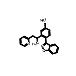 Cc1ccc(-c2noc3ccccc23)c(C(N)Cc2ccccn2)c1.Cl